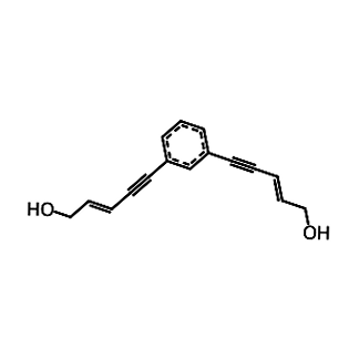 OCC=CC#Cc1cccc(C#CC=CCO)c1